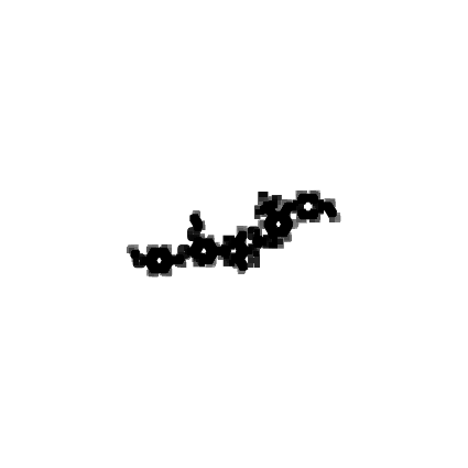 CCOc1cc(-c2nc(C)c(NC(=O)Nc3ccc(CN4CCN(CC)CC4)c(C(F)(F)F)c3)c(C)n2)cnc1OCc1ccc(OC)cc1